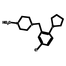 O=C(O)N1CCN(Cc2cc(Cl)ccc2N2CCCC2)CC1